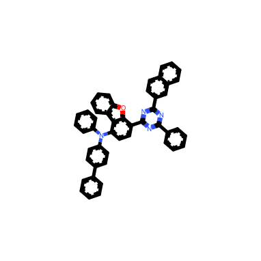 c1ccc(-c2ccc(N(c3ccccc3)c3ccc(-c4nc(-c5ccccc5)nc(-c5ccc6ccccc6c5)n4)c4oc5ccccc5c34)cc2)cc1